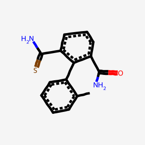 Cc1ccccc1-c1c(C(N)=O)cccc1C(N)=S